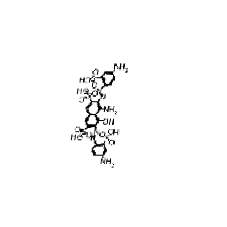 Nc1ccc(N=Nc2c(S(=O)(=O)O)cc3cc(S(=O)(=O)O)c(N=Nc4ccc(N)cc4S(=O)(=O)O)c(O)c3c2N)c(S(=O)(=O)O)c1